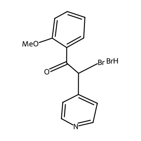 Br.COc1ccccc1C(=O)C(Br)c1ccncc1